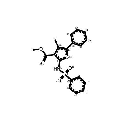 COC(=O)c1c(NS(=O)(=O)c2ccccc2)sc(-c2ccccc2)c1C